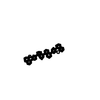 c1cc2c3c(cccc3c1)-c1ccc(-c3cccc4c(-c5cccc6c(-c7ccc8c(c7)Oc7cccc9cccc-8c79)cccc56)cccc34)cc1O2